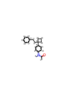 CC(=O)N(C)c1ccc(C2(CCc3ccccc3)CCC2)cc1